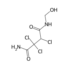 NC(=O)C(Cl)(Cl)C(Cl)C(=O)NCO